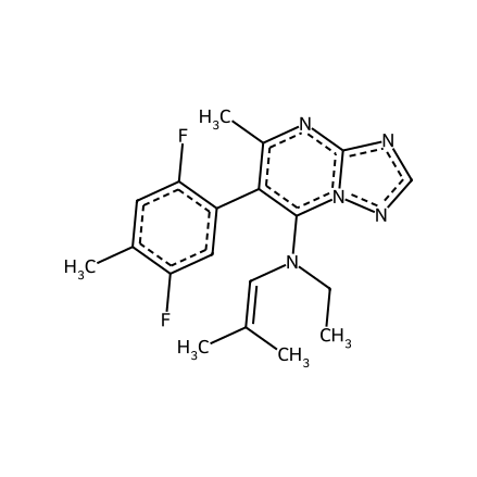 CCN(C=C(C)C)c1c(-c2cc(F)c(C)cc2F)c(C)nc2ncnn12